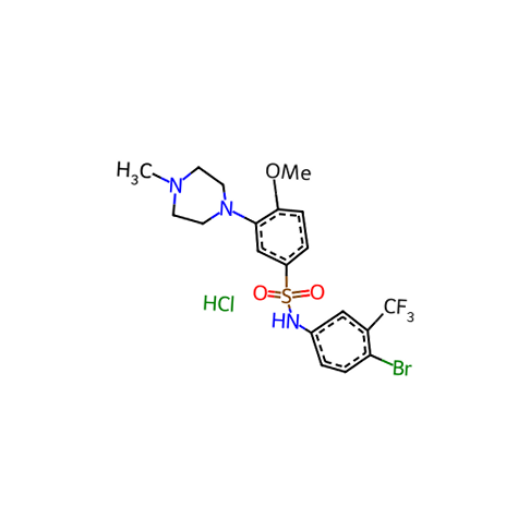 COc1ccc(S(=O)(=O)Nc2ccc(Br)c(C(F)(F)F)c2)cc1N1CCN(C)CC1.Cl